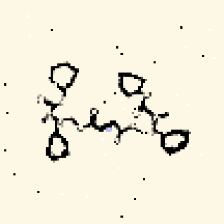 CN(C(=O)OC1CCCCC1)[C@@H](COC(=O)/C=C/C(=O)OC[C@@H](c1ccccc1)N(C)C(=O)OC1CCCCC1)c1ccccc1